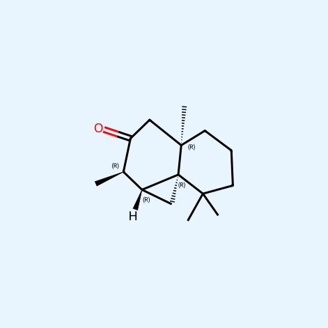 C[C@H]1C(=O)C[C@@]2(C)CCCC(C)(C)[C@]23C[C@H]13